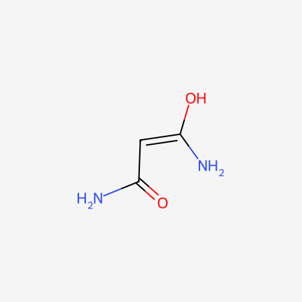 NC(=O)/C=C(\N)O